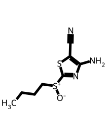 CCCC[S+]([O-])c1nc(N)c(C#N)s1